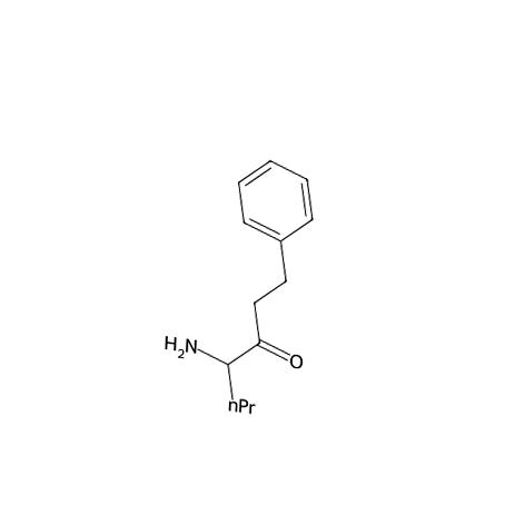 [CH2]CCC(N)C(=O)CCc1ccccc1